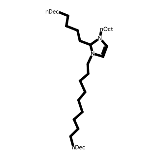 CCCCCCCCCCCCCCCCCCCN1C=CN(CCCCCCCC)C1CCCCCCCCCCCCCC